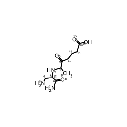 CC(N[C@H](CN)C(N)=O)C(=O)CCCC(=O)O